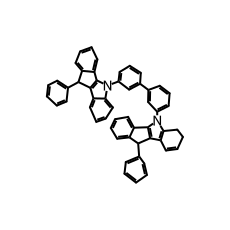 C1=Cc2c3c(n(-c4cccc(-c5cccc(-n6c7c(c8ccccc86)C(c6ccccc6)c6ccccc6-7)c5)c4)c2CC1)-c1ccccc1C3c1ccccc1